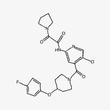 O=C(Nc1cc(C(=O)N2CCC(Oc3ccc(F)cc3)CC2)c(Cl)cn1)C(=O)N1CCCC1